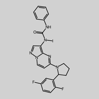 O=C(Nc1ccccc1)N(I)c1cnn2ccc(N3CCCC3c3cc(F)ccc3F)nc12